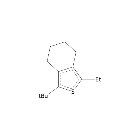 CCc1sc(C(C)(C)C)c2c1CCCC2